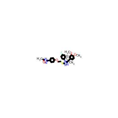 COc1ccc(C(C)(C)c2nnc(SCCOc3ccc(-c4noc(C)n4)cc3)n2-c2ccc(F)cc2)cc1OC